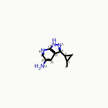 CC1CC1c1n[nH]c2ncc(N)cc12